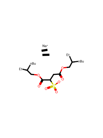 C=C.C=C.CCCCC(CC)COC(=O)CC(C(=O)OCC(CC)CCCC)S(=O)(=O)[O-].[Na+]